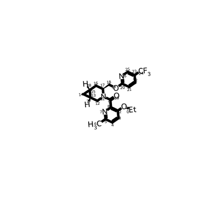 CCOc1ccc(C)nc1C(=O)N1C[C@@H]2C[C@@H]2C[C@H]1COc1ccc(C(F)(F)F)cn1